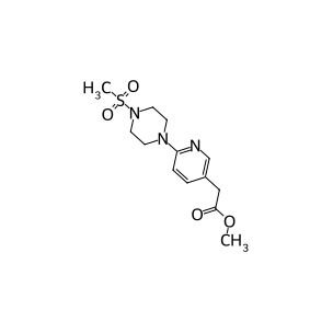 COC(=O)Cc1ccc(N2CCN(S(C)(=O)=O)CC2)nc1